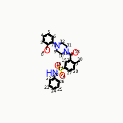 COc1ccccc1N1CCN(C(=O)c2cc(S(=O)(=O)Nc3ccccc3)ccc2C)CC1